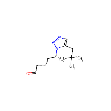 CC(C)(C)Cc1cnnn1CCCCC=O